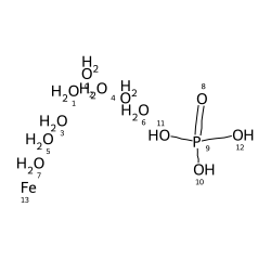 O.O.O.O.O.O.O.O.O=P(O)(O)O.[Fe]